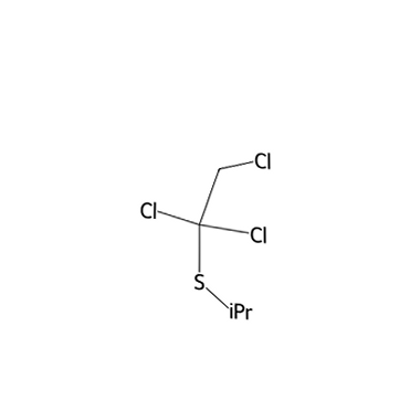 CC(C)SC(Cl)(Cl)CCl